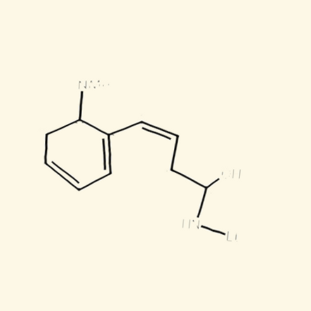 CCNC(O)C/C=C\C1=CC=CCC1NC